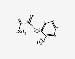 C=C(N)C(=O)Oc1ccccc1N